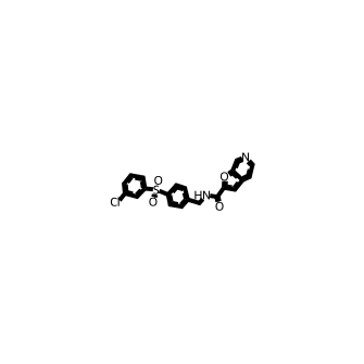 O=C(NCc1ccc(S(=O)(=O)c2cccc(Cl)c2)cc1)c1cc2ccncc2o1